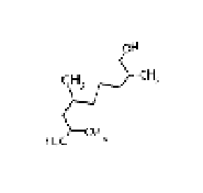 CC(C)CC(C)CCCC(C)CO